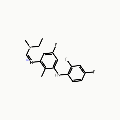 CCN(C)/C=N\c1cc(F)cc(Nc2ccc(F)cc2F)c1C